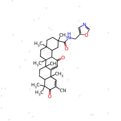 CC1(C(=O)NCc2cnco2)CCC2(C)CCC3(C)C(C(=O)C=C4C5(C)C=C(C#N)C(=O)C(C)(C)C5CCC43C)C2C1